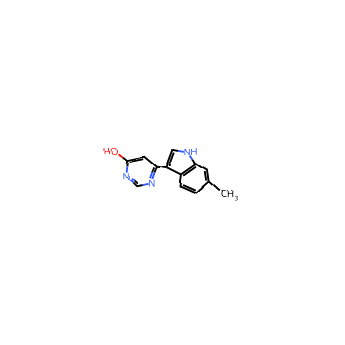 Cc1ccc2c(-c3cc(O)ncn3)c[nH]c2c1